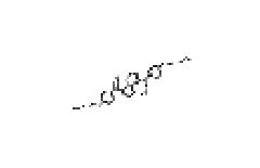 CCCCCCc1ccc(Nc2cccc3c(Nc4ccc(CCCCCC)cc4)cccc23)cc1